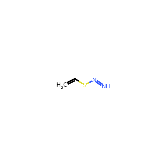 C=CSN=N